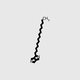 CCCCCCCCCCCCCCCCC1=NC=C2C=NC=C21